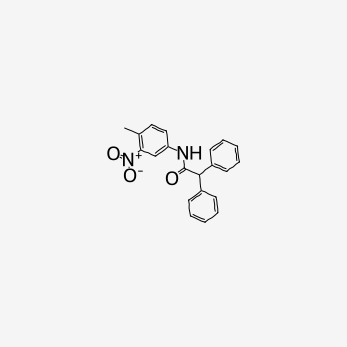 Cc1ccc(NC(=O)C(c2ccccc2)c2ccccc2)cc1[N+](=O)[O-]